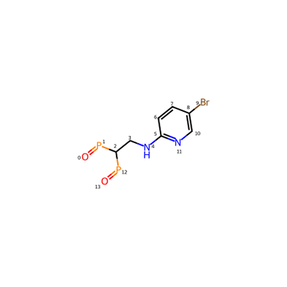 O=PC(CNc1ccc(Br)cn1)P=O